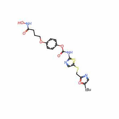 CC(C)(C)c1cnc(CSc2cnc(NC(=O)Oc3ccc(OCCCC(=O)NO)cc3)s2)o1